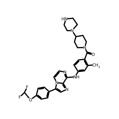 Cc1cc(Nc2nccn3c(-c4ccc(OC(F)F)cc4)cnc23)ccc1C(=O)N1CCC(N2CCNCC2)CC1